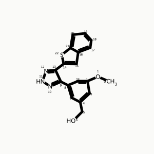 COc1cc(CO)cc(-c2n[nH]nc2-c2cc3ccccc3s2)c1